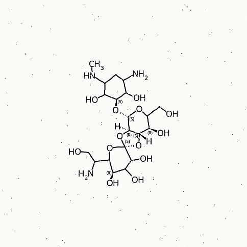 CNC1CC(N)C(O)[C@@H](O[C@@H]2OC(CO)[C@@H](O)[C@@H]3O[C@]4(OC(C(N)CO)[C@H](O)C(O)C4O)O[C@@H]23)C1O